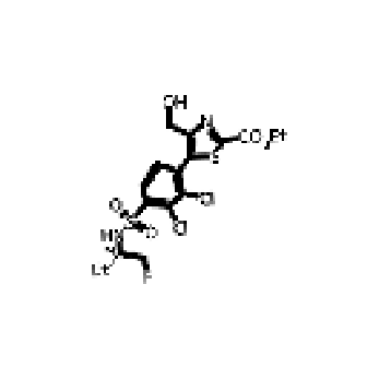 CCOC(=O)c1nc(CO)c(-c2ccc(S(=O)(=O)N[C@@H](CC)CF)c(Cl)c2Cl)s1